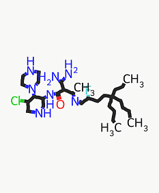 CCCCC(CCC)(CCCC)CCC(F)/C=N\C(C)C(C(=O)NC1CNCC(Cl)C1N1CCNCC1)C(N)N